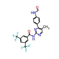 Cc1cnc(NC(=O)c2cc(C(F)(F)F)cc(C(F)(F)F)c2)nc1-c1ccc(NC=O)cc1